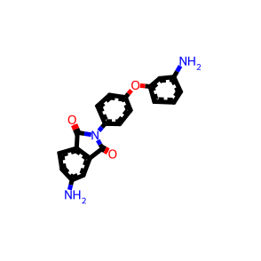 Nc1cccc(Oc2ccc(N3C(=O)c4ccc(N)cc4C3=O)cc2)c1